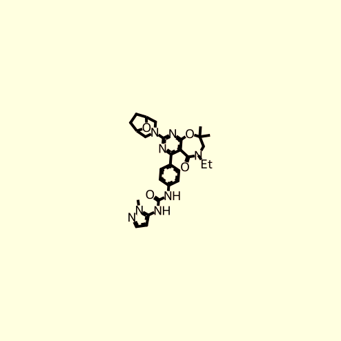 CCN1CC(C)(C)Oc2nc(N3CC4CCC(C3)O4)nc(-c3ccc(NC(=O)Nc4ccnn4C)cc3)c2C1=O